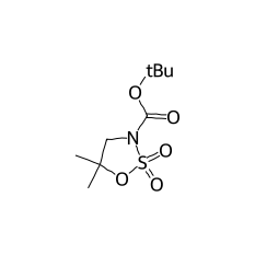 CC(C)(C)OC(=O)N1CC(C)(C)OS1(=O)=O